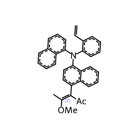 C=Cc1ccccc1N(c1cccc2ccccc12)c1ccc(/C(C(C)=O)=C(\C)OC)c2ccccc12